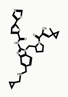 CC1(C=C(C#N)C(=O)N2CCCC2Cn2c(NC(=O)c3ccc(-c4cnco4)s3)nc3cc(CNCC4CC4)ccc32)CC1